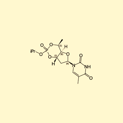 Cc1cn([C@H]2C[C@@H]3OP(=O)(OC(C)C)O[C@@H](C)[C@H]3O2)c(=O)[nH]c1=O